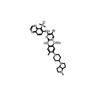 COc1cc(N2CCC(N3CCC4C3CCN4C)CC2)c(C)cc1Nc1ncc(Br)c(Nc2ccc3nccnc3c2P(C)(C)=O)n1